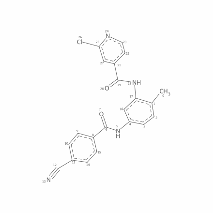 Cc1ccc(NC(=O)c2ccc(C#N)cc2)cc1NC(=O)c1ccnc(Cl)c1